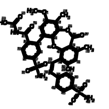 COc1cc(-c2cc(S(N)(=O)=O)ccc2C(=O)NC(=O)O)c2c(c1C)OC(=O)c1c(C)cc(O)c(C=Nc3ccc(S(N)(=O)=O)cc3)c1O2